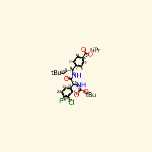 CC(C)OC(=O)c1ccc([C@@H](CCC(C)(C)C)NC(=O)C(NC(=O)OC(C)(C)C)c2ccc(F)c(Cl)c2)cc1